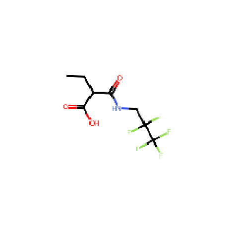 CCC(C(=O)O)C(=O)NCC(F)(F)C(F)(F)F